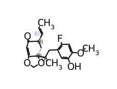 C/C=C/[C@H]1C[C@]2([C@@H](C)Cc3cc(O)c(OC)cc3F)OCOC2=CC1=O